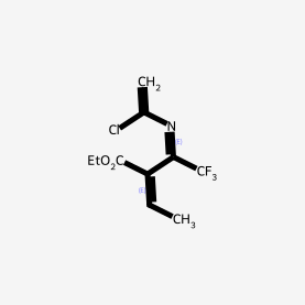 C=C(Cl)/N=C(\C(=C/C)C(=O)OCC)C(F)(F)F